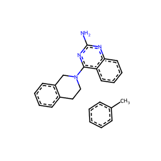 Cc1ccccc1.Nc1nc(N2CCc3ccccc3C2)c2ccccc2n1